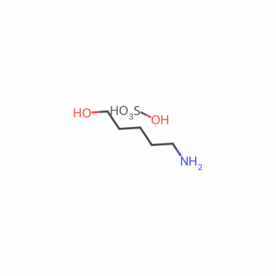 NCCCCCO.O=S(=O)(O)O